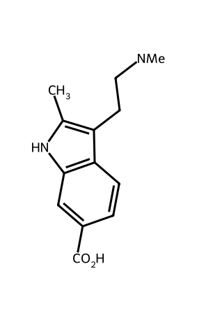 CNCCc1c(C)[nH]c2cc(C(=O)O)ccc12